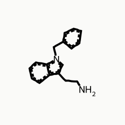 NCCc1cn(Cc2ccccc2)c2ccccc12